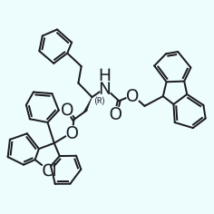 O=C(C[C@@H](CCc1ccccc1)NC(=O)OCC1c2ccccc2-c2ccccc21)OC(c1ccccc1)(c1ccccc1)c1ccccc1Cl